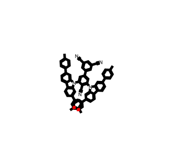 Cc1ccc(-c2ccc3c4ccc(-c5ccc(C)cc5)cc4n(-c4cc(-c5cc(C#N)cc(C#N)c5)cc(-n5c6cc(-c7ccc(C)cc7)ccc6c6ccc(-c7ccc(C)cc7)cc65)c4C#N)c3c2)cc1